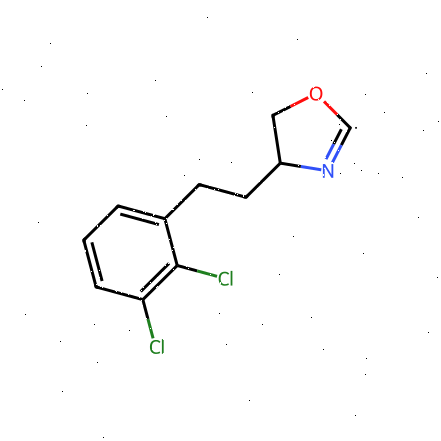 Clc1cccc(CCC2CO[C]=N2)c1Cl